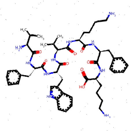 CC(C)[C@H](N)C(=O)N[C@@H](Cc1ccccc1)C(=O)N[C@@H](Cc1c[nH]c2ccccc12)C(=O)N[C@H](C(=O)N[C@@H](CCCCN)C(=O)N[C@@H](Cc1ccccc1)C(=O)N[C@@H](CCCCN)C(=O)O)C(C)C